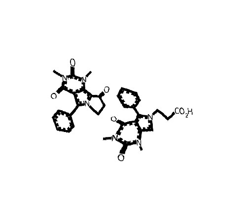 Cn1c(=O)c2c(-c3ccccc3)n(CCC(=O)O)cc2n(C)c1=O.Cn1c(=O)c2c(-c3ccccc3)n3c(c2n(C)c1=O)C(=O)CC3